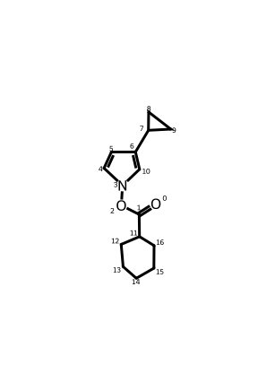 O=C(On1ccc(C2CC2)c1)C1CCCCC1